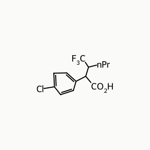 CCCC(C(C(=O)O)c1ccc(Cl)cc1)C(F)(F)F